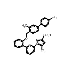 Cc1cc(-c2ccc(C(F)(F)F)cc2)ccc1COc1ccccc1-c1cccc(-n2nc(C(=O)O)cc2C(F)(F)F)n1